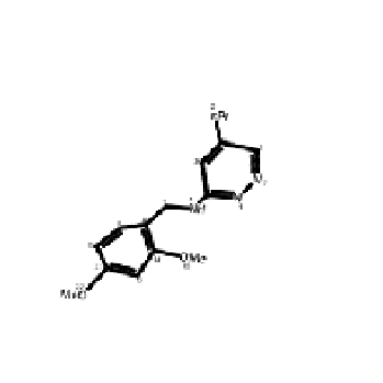 CCCc1cnnc(NCc2ccc(OC)cc2OC)c1